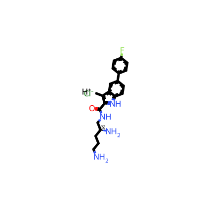 Cc1c(C(=O)NC[C@@H](N)CCCN)[nH]c2ccc(-c3ccc(F)cc3)cc12.[Cl-].[H+]